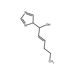 CCC/C=C/C(O)n1cncn1